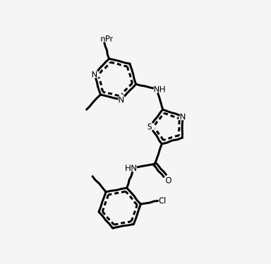 CCCc1cc(Nc2ncc(C(=O)Nc3c(C)cccc3Cl)s2)nc(C)n1